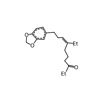 CCC(=O)CCCC(=CCCc1ccc2c(c1)OCO2)CC